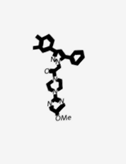 COc1cnc(N2CCN(C(=O)Cn3nc(-c4ccc(C)c(C)c4)cc3-c3ccccc3)CC2)nc1